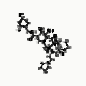 O=C(NCc1ccc(F)cc1F)C1=CN2C[C@H]3N(CCN4CCCC4)C[C@@H]4CCCC[C@@H]4N3C(=O)C2=C(O)C1O